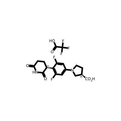 O=C(O)C(F)(F)F.O=C1CC[C@@H](c2c(F)cc(N3CC[C@@H](C(=O)O)C3)cc2F)C(=O)N1